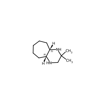 CC1(C)CN[C@@H]2CCCCC[C@@H]2N1